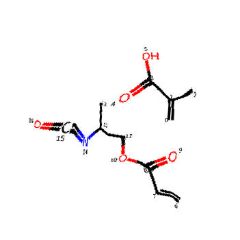 C=C(C)C(=O)O.C=CC(=O)OCC(C)N=C=O